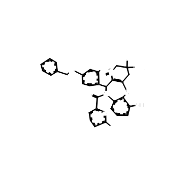 Cc1cccc(C(=O)N2c3cccc(N)c3NC3=C(C2c2ccc(OCc4ccccc4)cc2F)S(=O)(=O)CC(C)(C)C3)n1